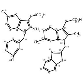 Cc1c(CC(=O)O)c2cc(Cl)ccc2n1Cc1cccc(Cl)c1.Cc1c(CC(=O)O)c2ccc(Cl)cc2n1Cc1nc2ccccc2s1